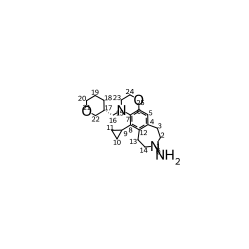 NN1CCc2cc3c(c(C4CC4)c2CC1)N(C[C@H]1CCCOC1)CCO3